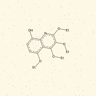 CCOc1nc2c(O)ccc(OCC)c2c(OCC)c1OCC